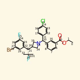 CCOC(=O)c1cccc(C(c2ccc(Cl)cc2)N2CC([C@@H](c3cc(F)cc(Br)c3)C(C)(C)F)C2)c1